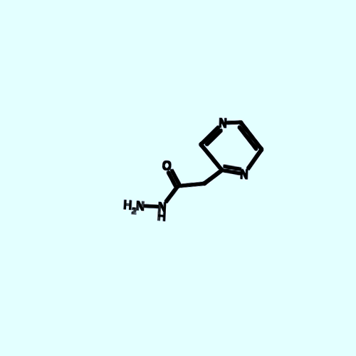 NNC(=O)Cc1cnccn1